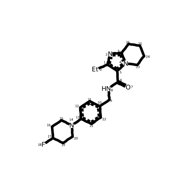 CCc1nc2n(c1C(=O)NCc1ccc(N3CCC(F)CC3)cc1)CCCC2